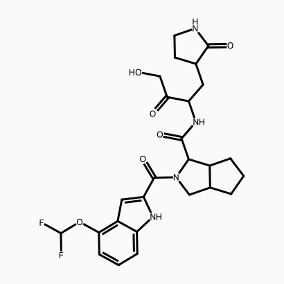 O=C1NCCC1CC(NC(=O)C1C2CCCC2CN1C(=O)c1cc2c(OC(F)F)cccc2[nH]1)C(=O)CO